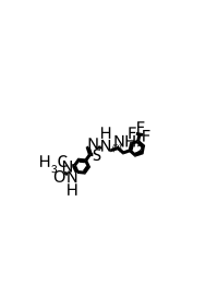 Cn1c(=O)[nH]c2ccc(-c3cnc(NC[C@H](N)Cc4cccc(C(F)(F)F)c4)s3)cc21